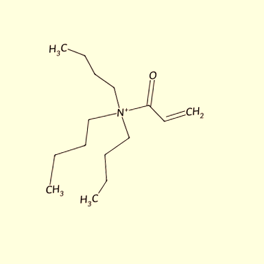 C=CC(=O)[N+](CCCC)(CCCC)CCCC